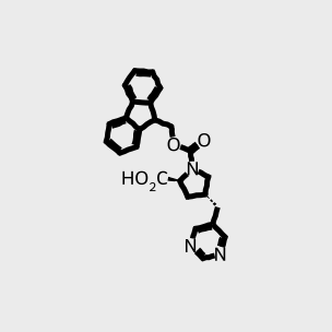 O=C(O)[C@@H]1C[C@@H](Cc2cncnc2)CN1C(=O)OCC1c2ccccc2-c2ccccc21